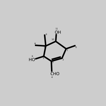 CC1C=C(C=O)C(O)C(C)(C)C1O